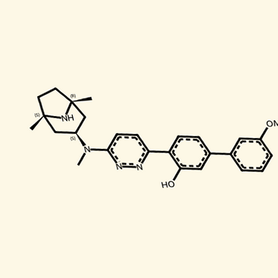 COc1cccc(-c2ccc(-c3ccc(N(C)[C@H]4C[C@]5(C)CC[C@](C)(C4)N5)nn3)c(O)c2)c1